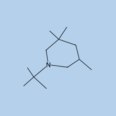 CC1CN(C(C)(C)C)CC(C)(C)C1